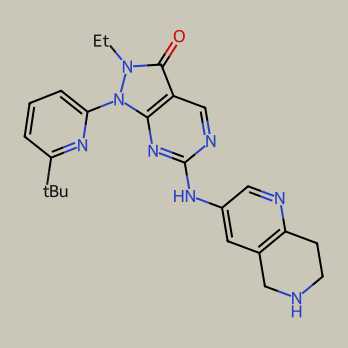 CCn1c(=O)c2cnc(Nc3cnc4c(c3)CNCC4)nc2n1-c1cccc(C(C)(C)C)n1